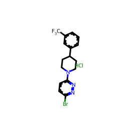 Cl.FC(F)(F)c1cccc(C2CCN(c3ccc(Br)nn3)CC2)c1